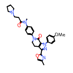 COc1ccc(-n2nc(-c3nc(C)co3)c3c2C(=O)N(c2ccc(N(C)C(=O)CCN4CCCC4)cc2)CC3)cc1